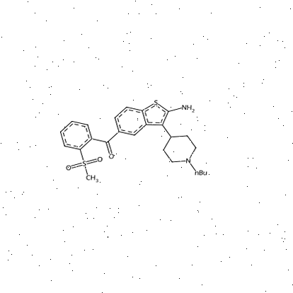 CCCCN1CCC(c2c(N)sc3ccc(C(=O)c4ccccc4S(C)(=O)=O)cc23)CC1